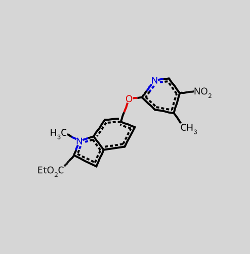 CCOC(=O)c1cc2ccc(Oc3cc(C)c([N+](=O)[O-])cn3)cc2n1C